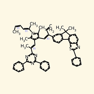 C=C/C(=C\c1c(/C=C(\C)c2nc(-c3ccccc3)nc(-c3ccccc3)n2)c(C)n(/C(C)=C/C=C\C)c1C)c1ccc2c(c1)C(C)(C)c1ccc3nc(-c4ccccc4)sc3c1-2